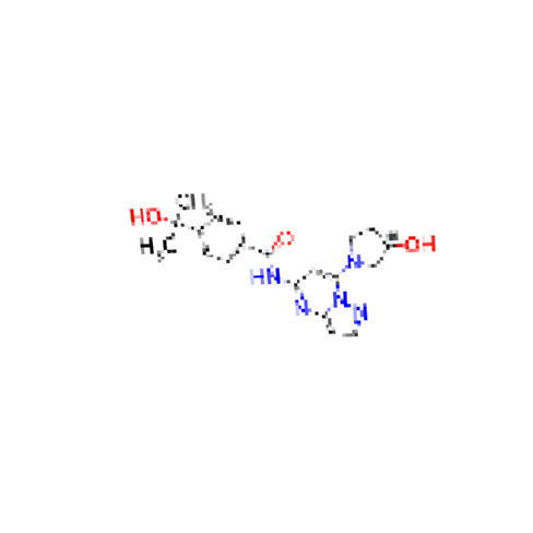 CC(C)(O)c1ccc(C(=O)Nc2cc(N3CC[C@@H](O)C3)n3nccc3n2)cc1